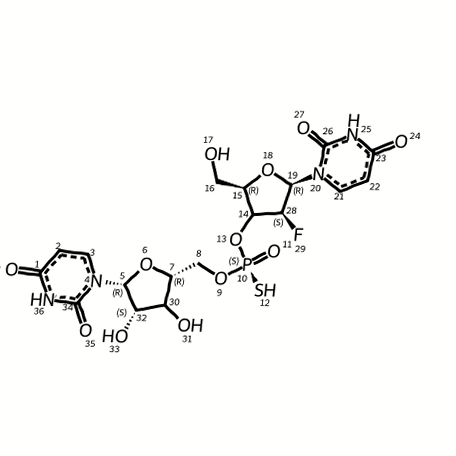 O=c1ccn([C@@H]2O[C@H](CO[P@](=O)(S)OC3[C@@H](CO)O[C@@H](n4ccc(=O)[nH]c4=O)[C@H]3F)C(O)[C@@H]2O)c(=O)[nH]1